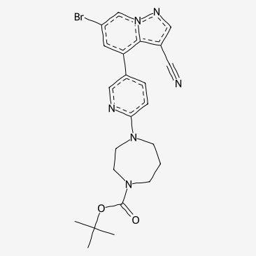 CC(C)(C)OC(=O)N1CCCN(c2ccc(-c3cc(Br)cn4ncc(C#N)c34)cn2)CC1